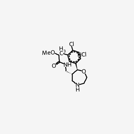 COCC(=O)NC[C@H]1CNCCO[C@@H]1c1ccc(Cl)c(C)c1.Cl